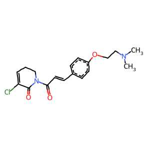 CN(C)CCOc1ccc(/C=C/C(=O)N2CCC=C(Cl)C2=O)cc1